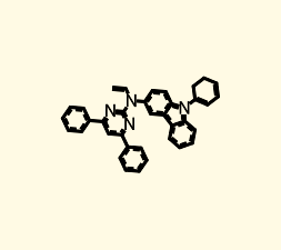 C=CN(c1ccc2c(c1)c1ccccc1n2C1=CC=CCC1)c1nc(-c2ccccc2)cc(-c2ccccc2)n1